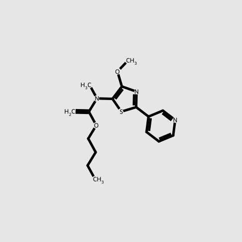 C=C(OCCCC)N(C)c1sc(-c2cccnc2)nc1OC